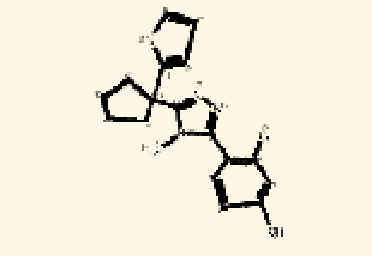 Cn1c(-c2ccc(O)cc2Cl)nnc1C1(c2cccs2)CCCC1